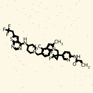 C=CC(=O)Nc1ccc(C2(Cn3c(C)cc4c(C)c(CN5CCC(Nc6ncnc7sc(CC(F)(F)F)cc67)CC5)ccc43)CC2(F)F)cn1